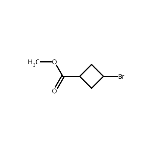 COC(=O)C1CC(Br)C1